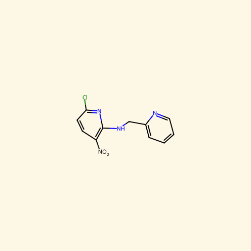 O=[N+]([O-])c1ccc(Cl)nc1NCc1ccccn1